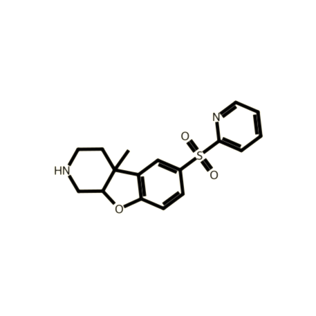 CC12CCNCC1Oc1ccc(S(=O)(=O)c3ccccn3)cc12